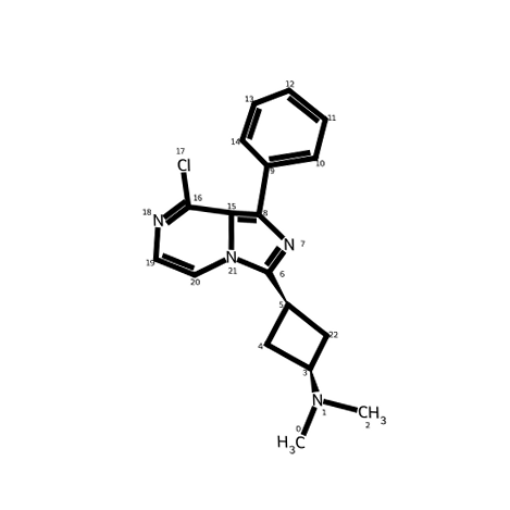 CN(C)[C@H]1C[C@@H](c2nc(-c3ccccc3)c3c(Cl)nccn32)C1